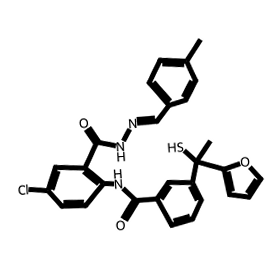 Cc1ccc(/C=N/NC(=O)c2cc(Cl)ccc2NC(=O)c2cccc(C(C)(S)c3ccco3)c2)cc1